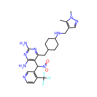 Cc1c(CNC2CCC(Cc3nc(N)nc(N)c3C(c3cnccc3C(F)(F)F)[N+](=O)[O-])CC2)cnn1C